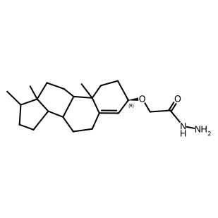 CC1CCC2C3CCC4=C[C@H](OCC(=O)NN)CCC4(C)C3CCC12C